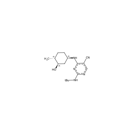 C[C@@H]1CC[C@@H](Nc2nc(NC(C)(C)C)ncc2C#N)C[C@H]1O